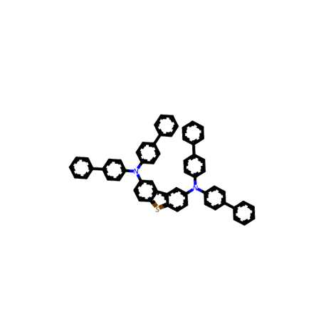 c1ccc(-c2ccc(N(c3ccc(-c4ccccc4)cc3)c3ccc4sc5ccc(N(c6ccc(-c7ccccc7)cc6)c6ccc(-c7ccccc7)cc6)cc5c4c3)cc2)cc1